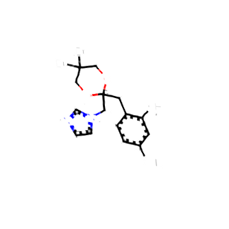 CCC1(CC)COC(Cc2ccc(C)cc2C)(Cn2ccnc2)OC1